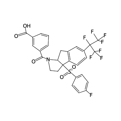 O=C(O)c1cccc(C(=O)N2CCC3(S(=O)(=O)c4ccc(F)cc4)c4ccc(C(F)(C(F)(F)F)C(F)(F)F)cc4CC23)c1